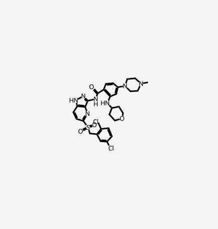 CN1CCN(c2ccc(C(=O)Nc3n[nH]c4ccc(S(=O)(=O)Cc5cc(Cl)ccc5Cl)nc34)c(NC3CCOCC3)c2)CC1